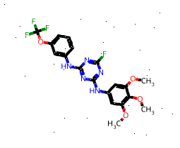 COc1cc(Nc2nc(F)nc(Nc3cccc(OC(F)(F)F)c3)n2)cc(OC)c1OC